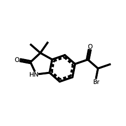 CC(Br)C(=O)c1ccc2c(c1)C(C)(C)C(=O)N2